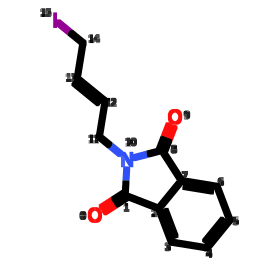 O=C1c2ccccc2C(=O)N1CC=CCI